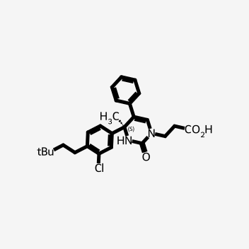 CC(C)(C)CCc1ccc([C@]2(C)NC(=O)N(CCC(=O)O)C=C2c2ccccc2)cc1Cl